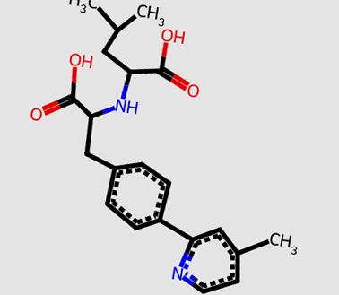 Cc1ccnc(-c2ccc(CC(NC(CC(C)C)C(=O)O)C(=O)O)cc2)c1